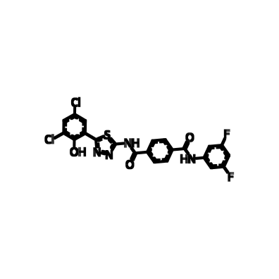 O=C(Nc1cc(F)cc(F)c1)c1ccc(C(=O)Nc2nnc(-c3cc(Cl)cc(Cl)c3O)s2)cc1